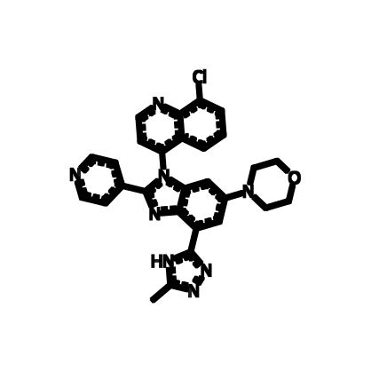 Cc1nnc(-c2cc(N3CCOCC3)cc3c2nc(-c2ccncc2)n3-c2ccnc3c(Cl)cccc23)[nH]1